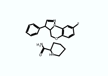 Fc1ccc2c(c1)N1N=CC(c3ccccc3)C1CO2.NC(=O)C1CCCCN1